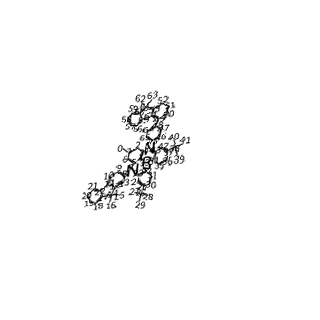 Cc1cc2c3c(c1)N(c1ccc4c(c1)C(C)(C)c1ccccc1-4)c1cc(C(C)(C)C)ccc1B3c1ccc(C(C)(C)C)cc1N2c1ccc(-c2cccc3c2-c2ccccc2C3(C)C)cc1